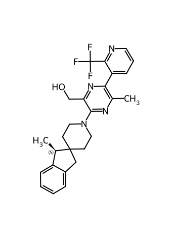 Cc1nc(N2CCC3(CC2)Cc2ccccc2[C@H]3C)c(CO)nc1-c1cccnc1C(F)(F)F